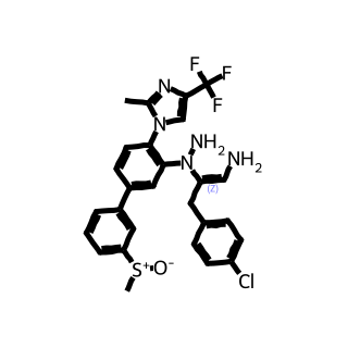 Cc1nc(C(F)(F)F)cn1-c1ccc(-c2cccc([S+](C)[O-])c2)cc1N(N)/C(=C\N)Cc1ccc(Cl)cc1